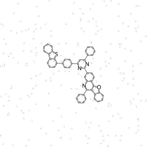 c1ccc(-c2cc(-c3ccc(-c4cccc5c4sc4ccccc45)cc3)nc(-c3ccc4c(c3)nc(-c3ccccc3)c3c5ccccc5oc43)n2)cc1